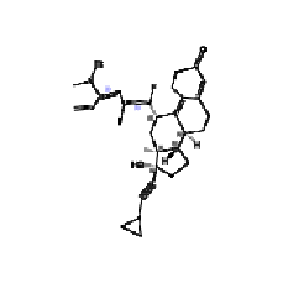 C=C/C(=C\C(F)=C(/F)[C@H]1C[C@@]2(C)[C@@H](CC[C@@]2(O)C#CC2CC2)[C@@H]2CCC3=CC(=O)CCC3=C21)N(C)CC